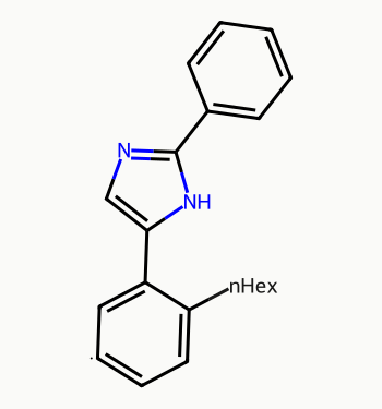 CCCCCCc1cc[c]cc1-c1cnc(-c2ccccc2)[nH]1